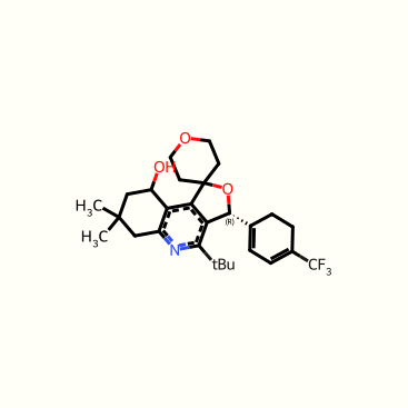 CC1(C)Cc2nc(C(C)(C)C)c3c(c2C(O)C1)C1(CCOCC1)O[C@@H]3C1=CC=C(C(F)(F)F)CC1